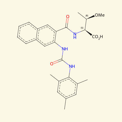 CO[C@H](C)[C@H](NC(=O)c1cc2ccccc2cc1NC(=O)Nc1c(C)cc(C)cc1C)C(=O)O